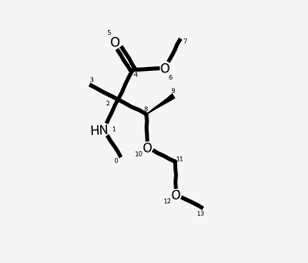 CNC(C)(C(=O)OC)[C@@H](C)OCOC